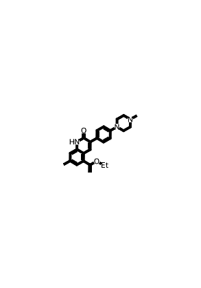 C=C(OCC)c1cc(C)cc2[nH]c(=O)c(-c3ccc(N4CCN(C)CC4)cc3)cc12